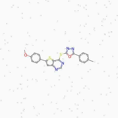 COc1ccc(-c2cc3ncnc(Sc4nnc(-c5ccc(C)cc5)o4)c3s2)cc1